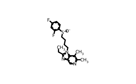 CCc1nc2cnc(C)c(C)c2n1CCCC[S+]([O-])c1ccc(F)cc1F